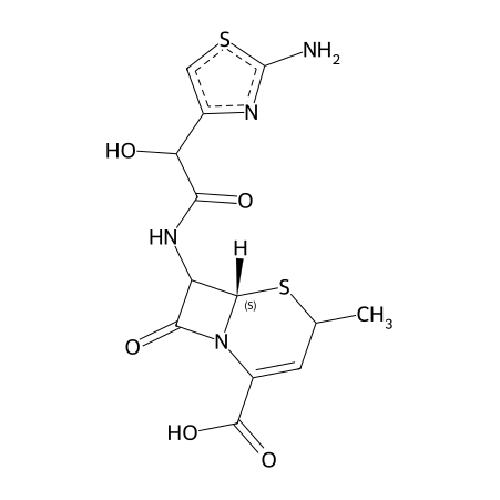 CC1C=C(C(=O)O)N2C(=O)C(NC(=O)C(O)c3csc(N)n3)[C@@H]2S1